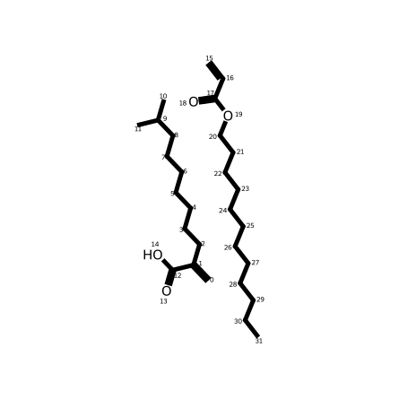 C=C(CCCCCCCC(C)C)C(=O)O.C=CC(=O)OCCCCCCCCCCCC